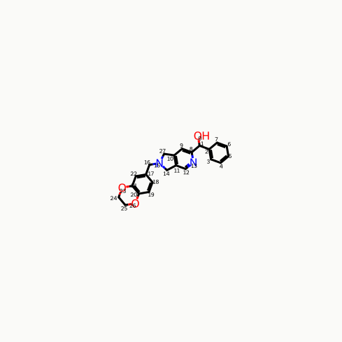 OC(c1ccccc1)c1cc2c(cn1)CN(Cc1ccc3c(c1)OCCO3)C2